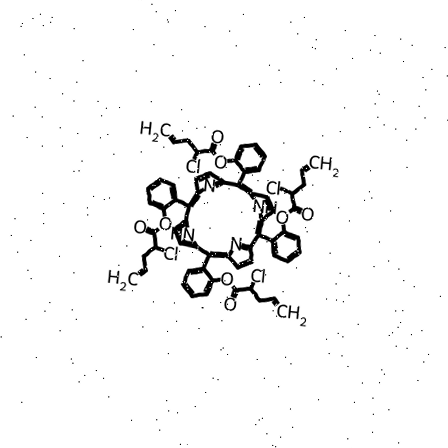 C=CCC(Cl)C(=O)Oc1ccccc1-c1c2nc(c(-c3ccccc3OC(=O)C(Cl)CC=C)c3ccc([nH]3)c(-c3ccccc3OC(=O)C(Cl)CC=C)c3nc(c(-c4ccccc4OC(=O)C(Cl)CC=C)c4ccc1[nH]4)C=C3)C=C2